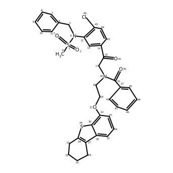 CS(=O)(=O)N(Cc1ccccc1)c1cc(C(=O)CN(CCOc2cccc3c4c(sc23)CCCC4)C(=O)c2ccccc2)ccc1Cl